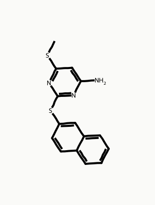 CSc1cc(N)nc(Sc2ccc3ccccc3c2)n1